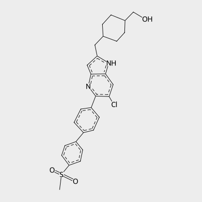 CS(=O)(=O)c1ccc(-c2ccc(-c3nc4cc(CC5CCC(CO)CC5)[nH]c4cc3Cl)cc2)cc1